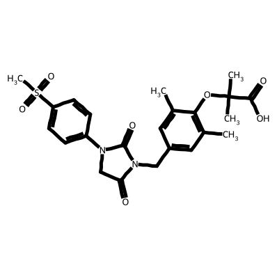 Cc1cc(CN2C(=O)CN(c3ccc(S(C)(=O)=O)cc3)C2=O)cc(C)c1OC(C)(C)C(=O)O